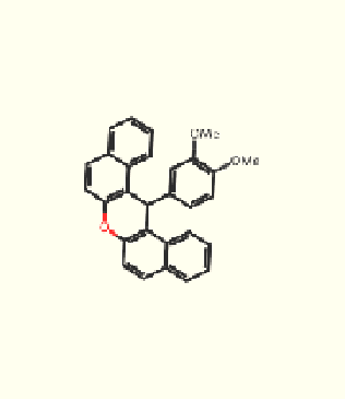 COc1ccc(C2c3c(ccc4ccccc34)Oc3ccc4ccccc4c32)cc1OC